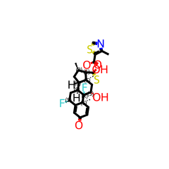 Cc1ncsc1C(=O)O[C@@]1(C(O)=S)[C@H](C)C[C@H]2[C@@H]3C[C@H](F)C4=CC(=O)C=C[C@]4(C)[C@@]3(F)[C@@H](O)C[C@@]21C